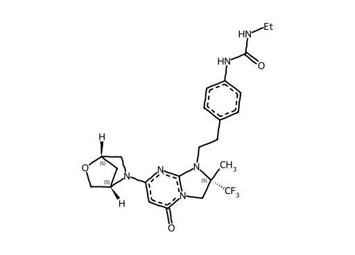 CCNC(=O)Nc1ccc(CCN2c3nc(N4C[C@@H]5C[C@H]4CO5)cc(=O)n3C[C@@]2(C)C(F)(F)F)cc1